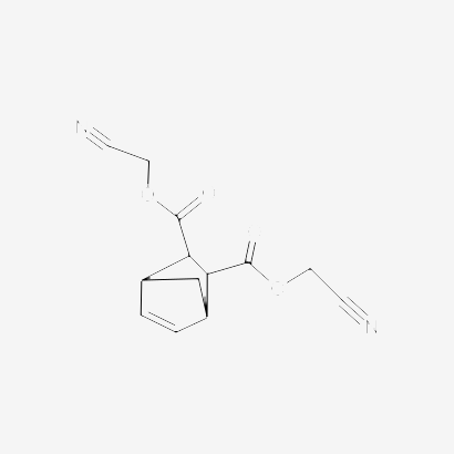 N#CCOC(=O)C1C2C=CC(C2)C1C(=O)OCC#N